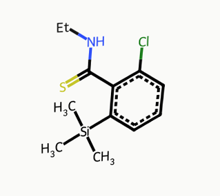 CCNC(=S)c1c(Cl)cccc1[Si](C)(C)C